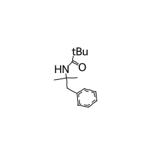 CC(C)(Cc1ccccc1)NC(=O)C(C)(C)C